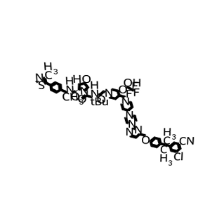 Cc1ncsc1-c1ccc([C@H](C)NC(=O)[C@@H]2C[C@@H](O)CN2C(=O)[C@@H](NC(=O)CN2CCC(CN3CCC(N4CCN(c5nccc(COc6ccc(C(C)(C)c7cc(Cl)cc(C#N)c7)cc6)n5)CC4)CC3)CC2)C(C)(C)C)cc1.O=C(O)C(F)(F)F